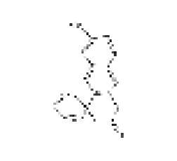 CCCc1ccc2cc3c(cc2c1)C1(CC(=O)C3)CC2C=CC1C2